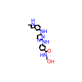 Cc1cc2cc(Nc3ccnc(Nc4cccc(C(=O)NCCO)c4)n3)ccc2[nH]1